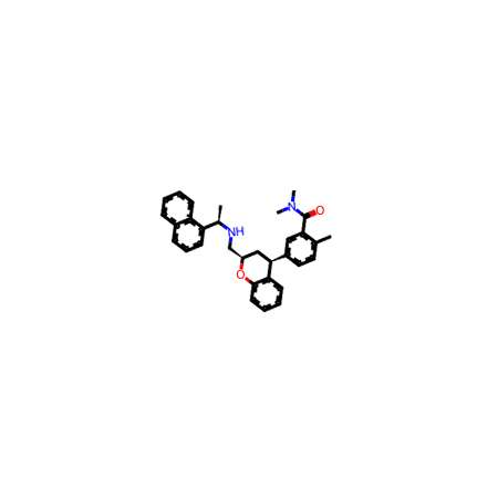 Cc1ccc([C@@H]2C[C@H](CN[C@H](C)c3cccc4ccccc34)Oc3ccccc32)cc1C(=O)N(C)C